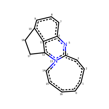 c1cccc2nc3cccc4c3c(n2ccc1)CC4